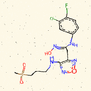 CS(=O)(=O)CCCNc1nonc1C(=NO)Nc1ccc(F)c(Cl)c1